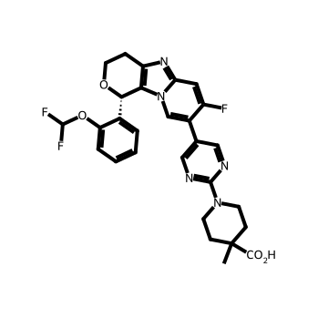 CC1(C(=O)O)CCN(c2ncc(-c3cn4c5c(nc4cc3F)CCO[C@H]5c3ccccc3OC(F)F)cn2)CC1